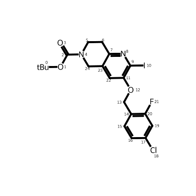 CC(C)(C)OC(=O)N1CCc2nc(I)c(OCc3ccc(Cl)cc3F)cc2C1